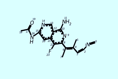 C=N/C=C\C(C)=C(/C)c1nc(N)c2cnc(NC(C)=O)cc2c1F